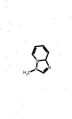 CN1C=NC2C=CC=CN21